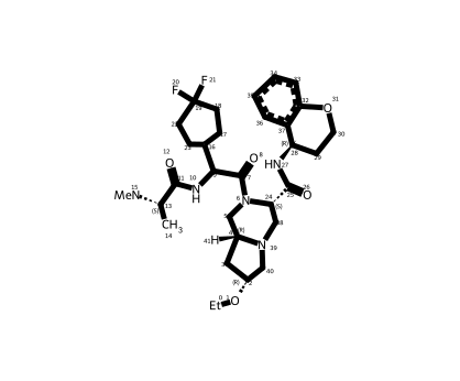 CCO[C@@H]1C[C@@H]2CN(C(=O)C(NC(=O)[C@H](C)NC)C3CCC(F)(F)CC3)[C@H](C(=O)N[C@@H]3CCOc4ccccc43)CN2C1